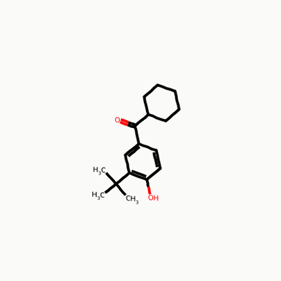 CC(C)(C)c1cc(C(=O)C2CCCCC2)ccc1O